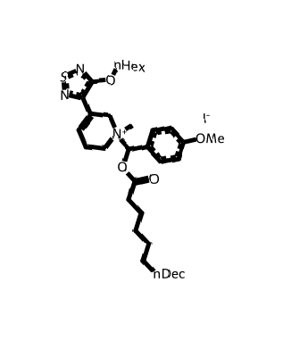 CCCCCCCCCCCCCCCC(=O)OC(c1ccc(OC)cc1)[N+]1(C)CCC=C(c2nsnc2OCCCCCC)C1.[I-]